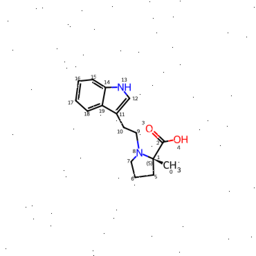 C[C@@]1(C(=O)O)CCCN1CCc1c[nH]c2ccccc12